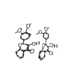 COc1ccc(-c2oc3ccccc3c(=O)c2O)cc1OC.COc1ccc(-c2oc3ccccc3c(=O)c2O)cc1OC